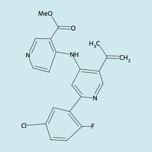 C=C(C)c1cnc(-c2cc(Cl)ccc2F)cc1Nc1ccncc1C(=O)OC